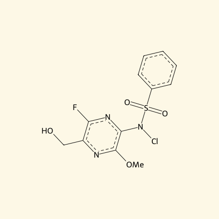 COc1nc(CO)c(F)nc1N(Cl)S(=O)(=O)c1ccccc1